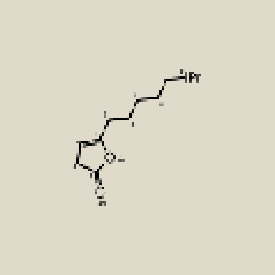 CC(C)CCCCCC1=CCC(=O)O1